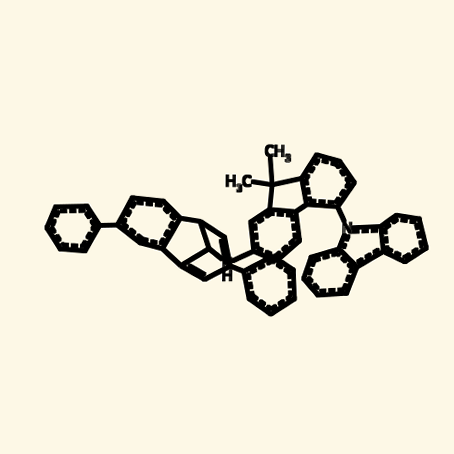 CC1(C)c2cc(NC3C4=CC(c5ccccc5)=CC3c3ccc(-c5ccccc5)cc34)ccc2-c2c(-n3c4ccccc4c4ccccc43)cccc21